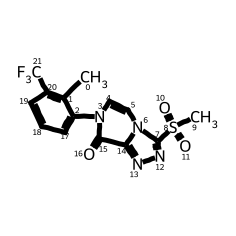 Cc1c(-n2ccn3c(S(C)(=O)=O)nnc3c2=O)cccc1C(F)(F)F